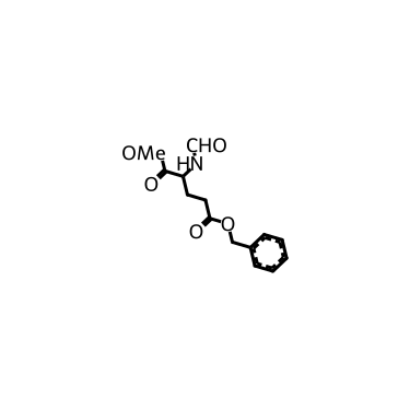 COC(=O)C(CCC(=O)OCc1ccccc1)NC=O